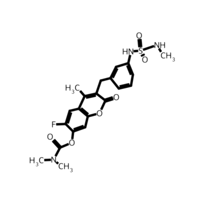 CNS(=O)(=O)Nc1cccc(Cc2c(C)c3cc(F)c(OC(=O)N(C)C)cc3oc2=O)c1